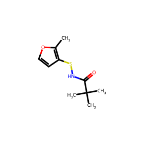 Cc1occc1SNC(=O)C(C)(C)C